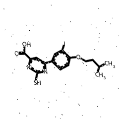 CC(C)CCOc1ccc(-c2cc(C(=O)O)nc(S)n2)cc1I